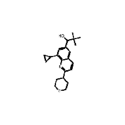 CC(C)(C)C(O)c1cc(C2CC2)c2nc(C3CCOCC3)ccc2c1